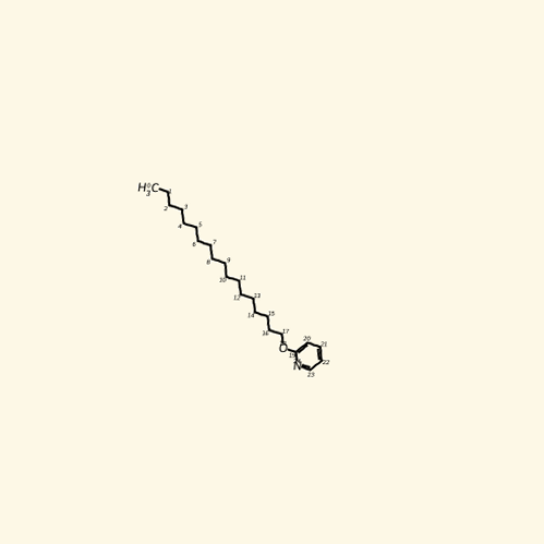 CCCCCCCCCCCCCCCCCCOc1ccccn1